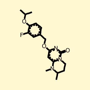 CC(C)Oc1ccc(COc2cc3n(c(=O)n2)CCC(C)N3C)cc1F